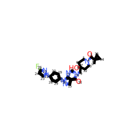 CC1(C(=O)N2CCC(O)(Cn3cnc4c(cnn4-c4ccc(-n5ccc(F)n5)cc4)c3=O)CC2)CC1